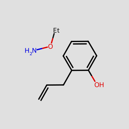 C=CCc1ccccc1O.CCON